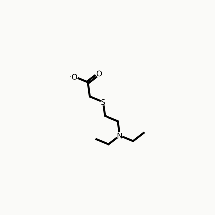 CCN(CC)CCSCC([O])=O